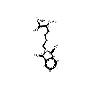 CNC(CCCCN1C(=O)c2ccccc2C1=O)C(=O)OC